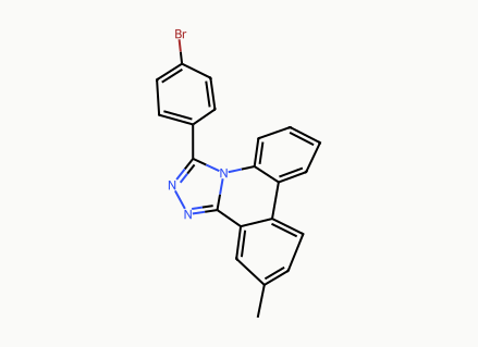 Cc1ccc2c3ccccc3n3c(-c4ccc(Br)cc4)nnc3c2c1